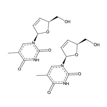 Cc1cn([C@H]2C=C[C@@H](CO)O2)c(=O)[nH]c1=O.Cc1cn([C@H]2C=C[C@@H](CO)O2)c(=O)[nH]c1=O